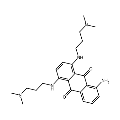 CN(C)CCCNc1ccc(NCCCN(C)C)c2c1C(=O)c1cccc(N)c1C2=O